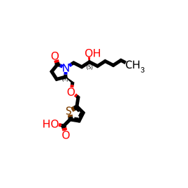 CCCCC[C@H](O)CCN1C(=O)CC[C@@H]1COCc1ccc(C(=O)O)s1